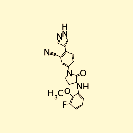 COc1c(F)cccc1NC1CCN(c2ccc(-c3cn[nH]c3)c(C#N)c2)C1=O